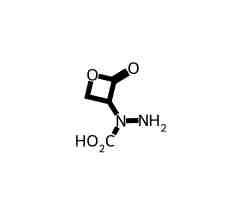 NN(C(=O)O)C1COC1=O